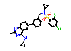 Cc1nc(NC2CC2)c2cc(-c3cccc(CN(C4CC4)S(=O)(=O)c4ccc(Cl)cc4Cl)c3)ccc2n1